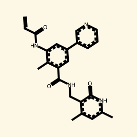 C=CC(=O)Nc1cc(-c2cccnc2)cc(C(=O)NCc2c(C)cc(C)[nH]c2=O)c1C